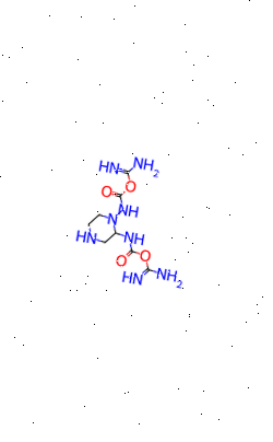 N=C(N)OC(=O)NC1CNCCN1NC(=O)OC(=N)N